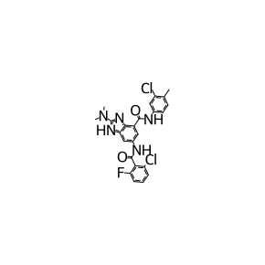 Cc1ccc(NC(=O)c2cc(NC(=O)c3c(F)cccc3Cl)cc3[nH]c(N(C)C)nc23)cc1Cl